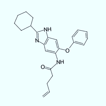 C=CCCC(=O)Nc1cc2nc(C3CCCCC3)[nH]c2cc1Oc1ccccc1